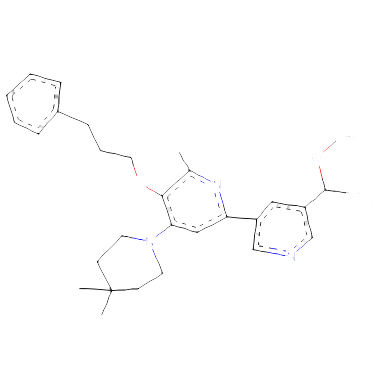 Cc1nc(-c2cncc(C(OC(C)(C)C)C(=O)O)c2)cc(N2CCC(C)(C)CC2)c1OCCCc1ccccc1